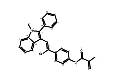 C=C(C)C(=O)Oc1ccc(/C(C#N)=C/c2c(-c3ccccc3)n(C)c3ccccc23)cc1